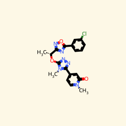 C[C@@H](Oc1nnc(-c2ccn(C)c(=O)c2)n1C)c1noc(-c2cccc(Cl)c2)n1